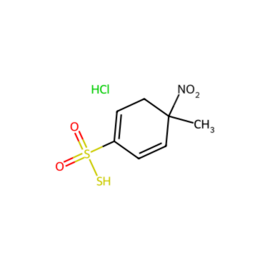 CC1([N+](=O)[O-])C=CC(S(=O)(=O)S)=CC1.Cl